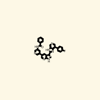 O=C(Nc1cncc(-c2cnc3[nH]nc(-c4nc5c(-c6ccc(F)cc6)cncc5[nH]4)c3c2)c1)c1ccccc1